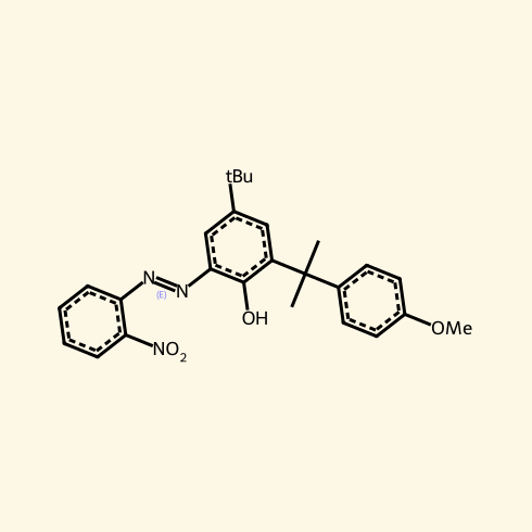 COc1ccc(C(C)(C)c2cc(C(C)(C)C)cc(/N=N/c3ccccc3[N+](=O)[O-])c2O)cc1